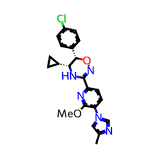 COc1nc(C2=NO[C@@H](c3ccc(Cl)cc3)[C@@H](C3CC3)N2)ccc1-n1cnc(C)c1